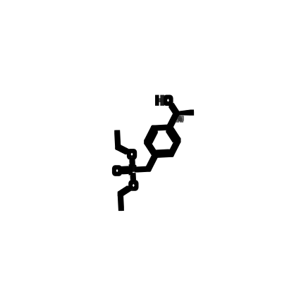 CCOP(=O)(Cc1ccc([C@H](C)O)cc1)OCC